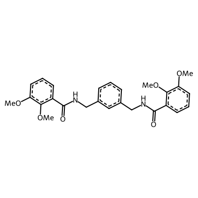 COc1cccc(C(=O)NCc2cccc(CNC(=O)c3cccc(OC)c3OC)c2)c1OC